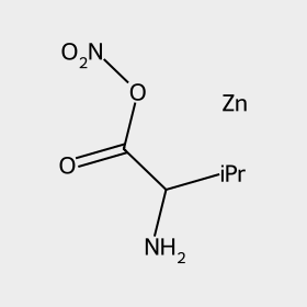 CC(C)C(N)C(=O)O[N+](=O)[O-].[Zn]